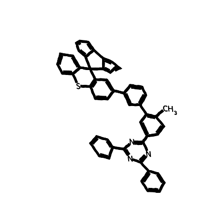 Cc1ccc(-c2nc(-c3ccccc3)nc(-c3ccccc3)n2)cc1-c1cccc(-c2ccc3c(c2)C2(c4ccccc4S3)c3ccccc3-c3ccccc32)c1